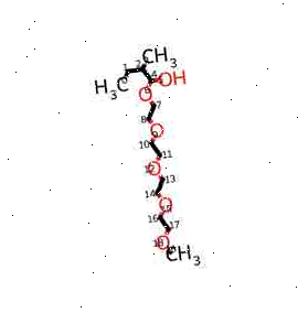 CCC(C)C(O)OCCOCCOCCOCCOC